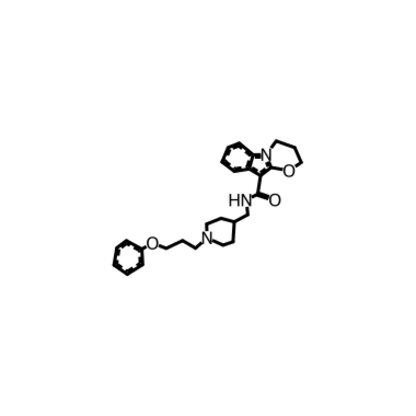 O=C(NCC1CCN(CCCOc2ccccc2)CC1)c1c2n(c3ccccc13)CCCO2